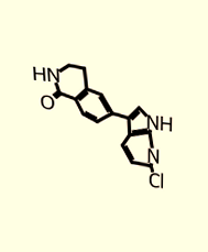 O=C1NCCc2cc(-c3c[nH]c4nc(Cl)ccc34)ccc21